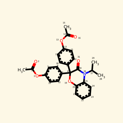 CC(=O)Oc1ccc(C2(c3ccc(OC(C)=O)cc3)Oc3ccccc3N(C(C)C)C2=O)cc1